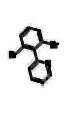 Brc1cccc(Br)c1-c1cc[c]cn1